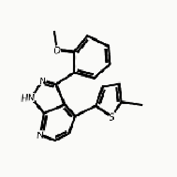 COc1ccccc1-c1n[nH]c2nccc(-c3ccc(C)s3)c12